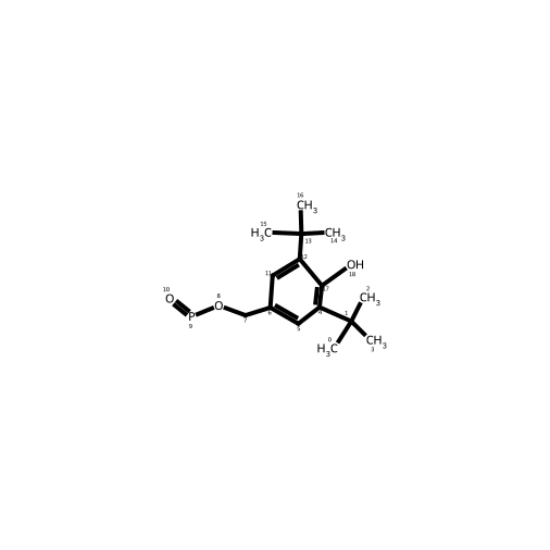 CC(C)(C)c1cc(COP=O)cc(C(C)(C)C)c1O